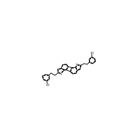 CCc1cccc(CCc2cc3ccc4c(c3s2)-c2ccc3cc(CCc5cccc(CC)c5)sc3c2-4)c1